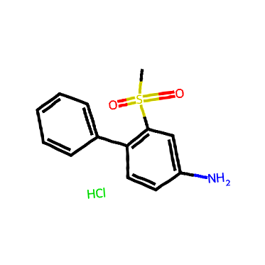 CS(=O)(=O)c1cc(N)ccc1-c1ccccc1.Cl